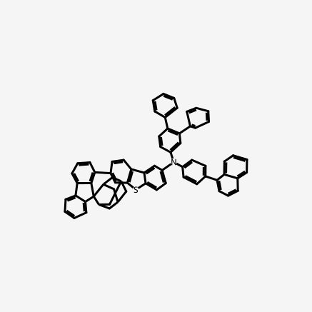 c1ccc(-c2ccc(N(c3ccc(-c4cccc5ccccc45)cc3)c3ccc4sc5cc(-c6cccc7c6C6(c8ccccc8-7)C7CC8CC(C7)CC6C8)ccc5c4c3)cc2-c2ccccc2)cc1